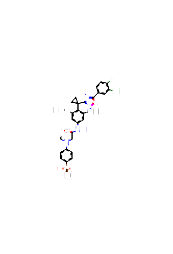 CCS(=O)(=O)c1ccc(N(CC(=O)Nc2cc(C)c(C3(c4noc(-c5ccc(F)c(Cl)c5)n4)CC3)c(C)c2)CC(F)(F)F)cc1